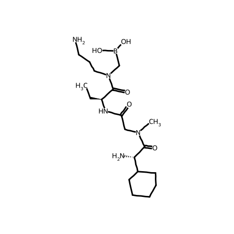 CC[C@H](NC(=O)CN(C)C(=O)[C@@H](N)C1CCCCC1)C(=O)N(CCCN)CB(O)O